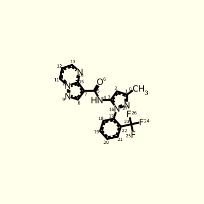 Cc1cc(NC(=O)c2cnn3cccnc23)n(-c2ccccc2C(F)(F)F)n1